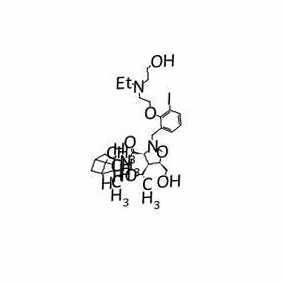 CCN(CCO)CCOc1c(I)cccc1CN1O[C@@H](CO)[C@@H]([C@H](C)O)[C@H]1C(=O)N[C@H]1CC2C[C@@H]([C@@H]1C)C2(C)C